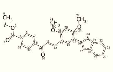 CCOC(=O)c1ccc(C(=O)C=Cc2cc(-c3cc4ccccc4s3)c(OC)cc2OC)cc1